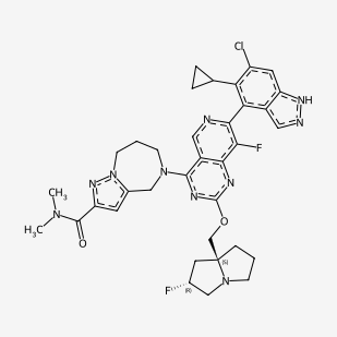 CN(C)C(=O)c1cc2n(n1)CCCN(c1nc(OC[C@@]34CCCN3C[C@H](F)C4)nc3c(F)c(-c4c(C5CC5)c(Cl)cc5[nH]ncc45)ncc13)C2